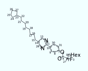 CCCCCC[C@@](C)(F)C(=O)Oc1ccc(-c2ncc(CCCCCCCCC3CCCC3)cn2)cc1